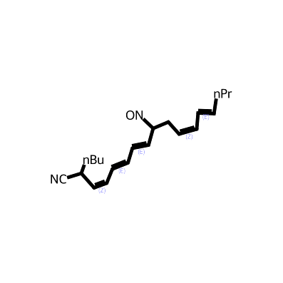 CCC/C=C/C=C\CC(/C=C/C=C/C=C\C(C#N)CCCC)N=O